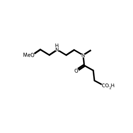 COCCNCCN(C)C(=O)CCC(=O)O